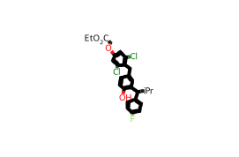 CCOC(=O)COc1cc(Cl)c(Cc2ccc(O)c(C(c3ccc(F)cc3)C(C)C)c2)c(Cl)c1